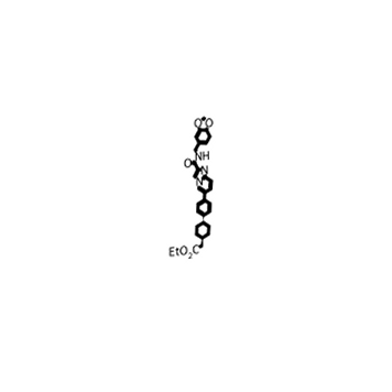 CCOC(=O)C[C@H]1CC[C@H](c2ccc(-c3ccc4nc(C(=O)NCC5=CCC6OCOC6=C5)cn4c3)cc2)CC1